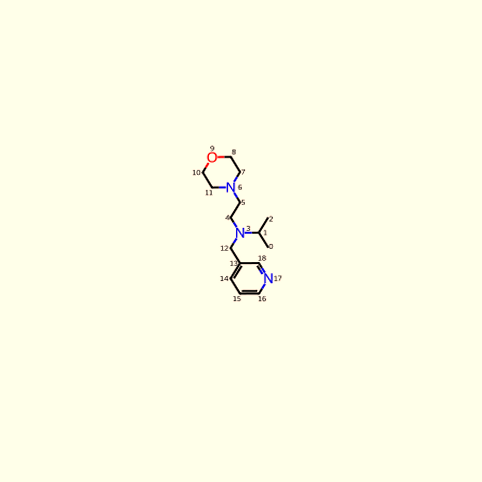 CC(C)N(CCN1CCOCC1)Cc1cccnc1